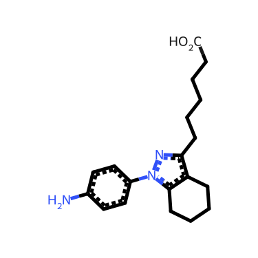 Nc1ccc(-n2nc(CCCCCC(=O)O)c3c2CCCC3)cc1